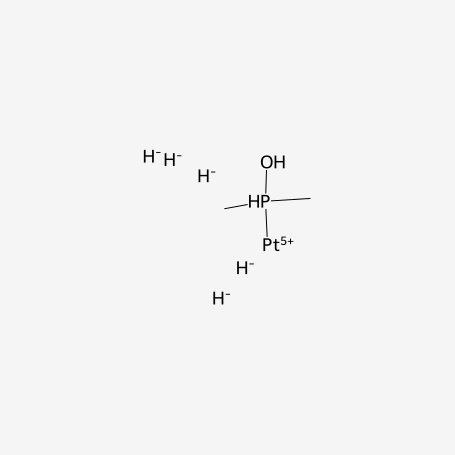 C[PH](C)(O)[Pt+5].[H-].[H-].[H-].[H-].[H-]